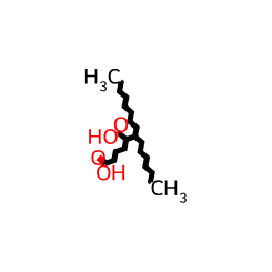 CCCCCCCCC(CCCCCCC)C(CCCC(=O)O)C(=O)O